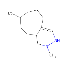 CCC1CCCC2=CNN(C)CC2CC1